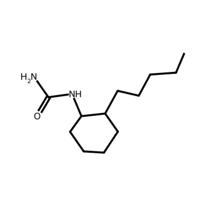 CCCCCC1CCCCC1NC(N)=O